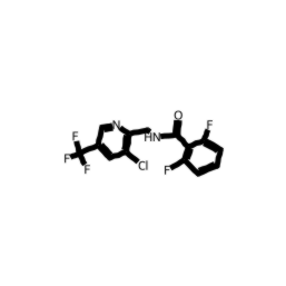 O=C(NCc1ncc(C(F)(F)F)cc1Cl)c1c(F)cccc1F